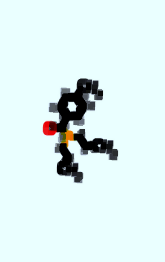 C=CCP(CC=C)C(=O)c1ccc(C)cc1